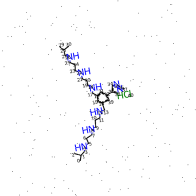 CC(C)CNCCCNCCCNCc1cc(CNCCCNCCCNCC(C)C)cc(-c2cnn(C)c2)c1.Cl